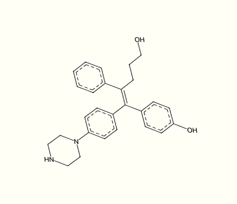 OCCC/C(=C(\c1ccc(O)cc1)c1ccc(N2CCNCC2)cc1)c1ccccc1